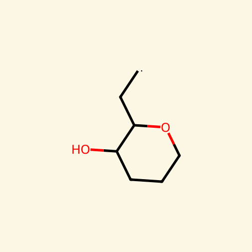 [CH2]CC1OCCCC1O